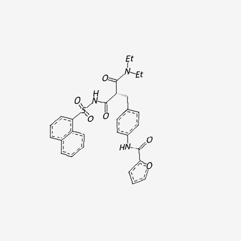 CCN(CC)C(=O)[C@H](Cc1ccc(NC(=O)c2ccco2)cc1)C(=O)NS(=O)(=O)c1cccc2ccccc12